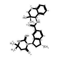 C[C@@H]1C[C@@H](N2C(=N)NC(C)(C)CC2=O)c2cc(C(=O)N[C@@H]3c4ccccc4OC[C@@]3(C)O)ccc21